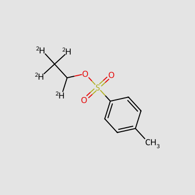 [2H]C(OS(=O)(=O)c1ccc(C)cc1)C([2H])([2H])[2H]